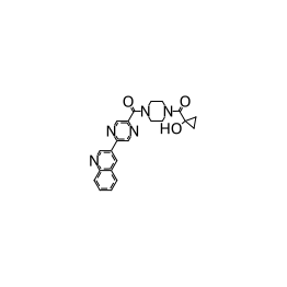 O=C(c1cnc(-c2cnc3ccccc3c2)cn1)N1CCN(C(=O)C2(O)CC2)CC1